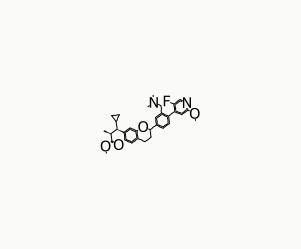 COC(=O)[C@@H](C)[C@H](c1ccc2c(c1)OC(c1ccc(-c3cc(OC)ncc3F)c(CN(C)C)c1)CC2)C1CC1